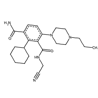 CCCN1CCN(c2ccc(C(N)=O)c(C3CCCCC3)c2C(=O)NCC#N)CC1